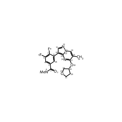 CNC(=O)c1cc(F)c(F)c(-c2cnn3cc(C)c(O[C@H]4CCOC4)nc23)c1